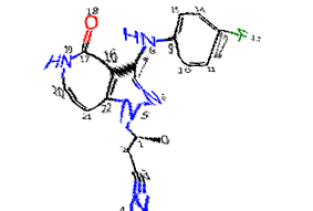 C[C@@H](CC#N)n1nc(Nc2ccc(F)cc2)c2c(=O)[nH]ccc21